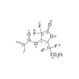 C=C(C)C(=O)OC1C(C(F)(F)C(=O)OCC)OC(=O)C1(F)F